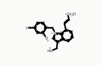 CCOC(=O)/C=C/c1cccc2c(CO)cn(Cc3ccc(Cl)cc3Cl)c12